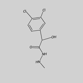 CNNC(=O)C(O)c1ccc(Cl)c(Cl)c1